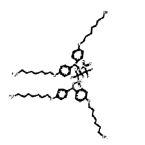 CCCCCCCCOc1ccc([I+](OS(=O)(=O)C(F)(F)C(F)(F)C(F)(F)S(=O)(=O)O[I+](c2ccc(OCCCCCCCC)cc2)c2ccc(OCCCCCCCC)cc2)c2ccc(OCCCCCCCC)cc2)cc1